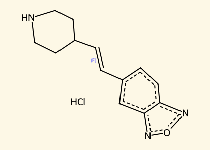 C(=C\C1CCNCC1)/c1ccc2nonc2c1.Cl